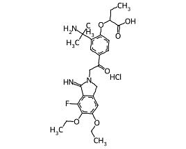 CCOc1cc2c(c(F)c1OCC)C(=N)N(CC(=O)c1ccc(OC(CC)C(=O)O)c(C(C)(C)N)c1)C2.Cl